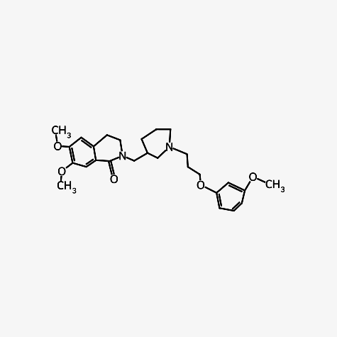 COc1cccc(OCCCN2CCCC(CN3CCc4cc(OC)c(OC)cc4C3=O)C2)c1